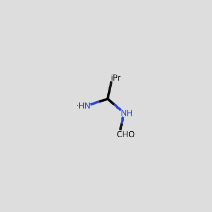 CC(C)C([NH])NC=O